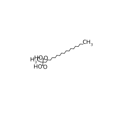 CCCCCCCCCCCCCCCCCCC(CC)(C(=O)O)C(=O)O